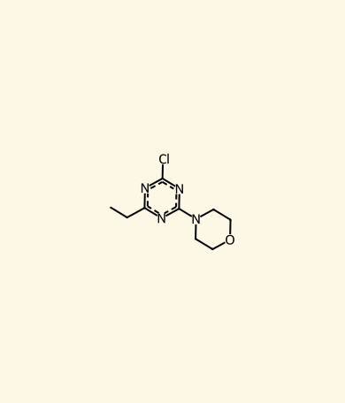 CCc1nc(Cl)nc(N2CCOCC2)n1